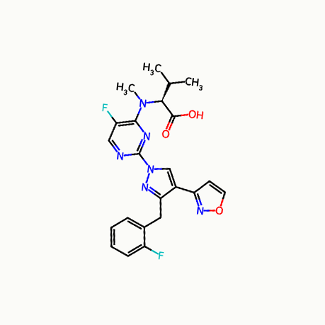 CC(C)[C@@H](C(=O)O)N(C)c1nc(-n2cc(-c3ccon3)c(Cc3ccccc3F)n2)ncc1F